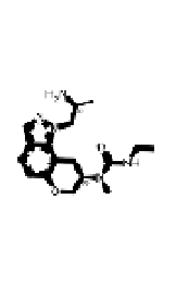 CCNC(=O)N(C)[C@H]1COc2ccc3cnn(C[C@H](C)N)c3c2C1